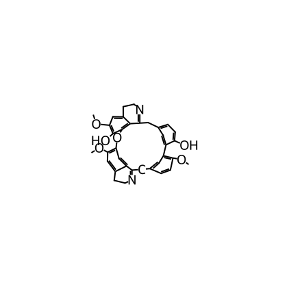 COc1cc2c3cc1Oc1c(O)c(OC)cc4c1C(=NCC4)Cc1ccc(O)c(c1)-c1cc(ccc1OC)CC3=NCC2